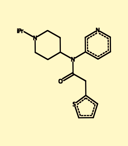 CC(C)N1CCC(N(C(=O)Cc2cccs2)c2cccnc2)CC1